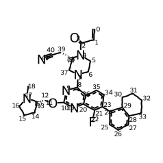 C=CC(=O)N1CCN(c2nc(OC[C@@H]3CCCN3C)nc3c(F)c(-c4cccc5c4CCCC5)ccc23)C[C@@H]1CC#N